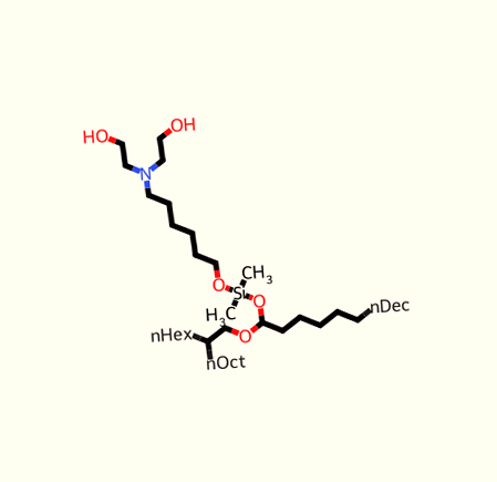 CCCCCCCCCCCCCCCC(OCC(CCCCCC)CCCCCCCC)O[Si](C)(C)OCCCCCCN(CCO)CCO